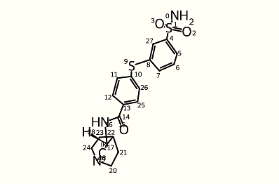 NS(=O)(=O)c1cccc(Sc2ccc(C(=O)N[C@H]3CN4CCC3CC4)cc2)c1